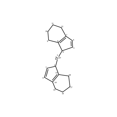 C1=C[CH]([Zr+2][CH]2C=CC3=C2CCCC3)C2=C1CCCC2